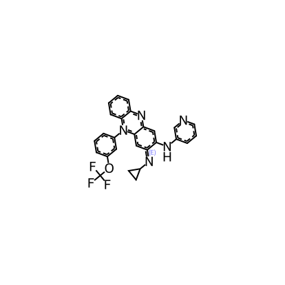 FC(F)(F)Oc1cccc(-n2c3c/c(=N\C4CC4)c(Nc4cccnc4)cc-3nc3ccccc32)c1